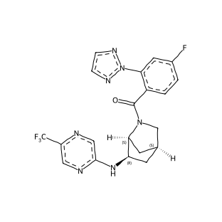 O=C(c1ccc(F)cc1-n1nccn1)N1C[C@H]2C[C@@H](Nc3cnc(C(F)(F)F)cn3)[C@@H]1C2